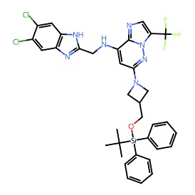 CC(C)(C)[Si](OCC1CN(c2cc(NCc3nc4cc(Cl)c(Cl)cc4[nH]3)c3ncc(C(F)(F)F)n3n2)C1)(c1ccccc1)c1ccccc1